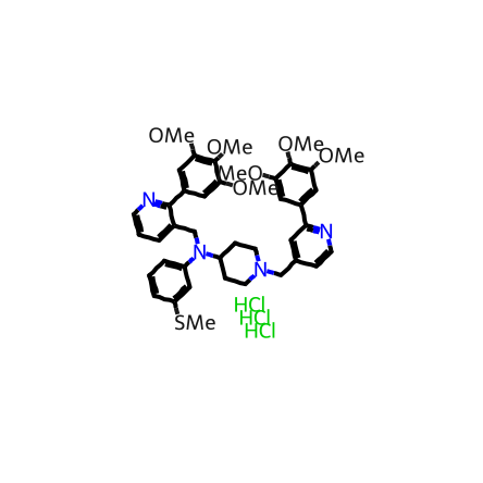 COc1cc(-c2cc(CN3CCC(N(Cc4cccnc4-c4cc(OC)c(OC)c(OC)c4)c4cccc(SC)c4)CC3)ccn2)cc(OC)c1OC.Cl.Cl.Cl